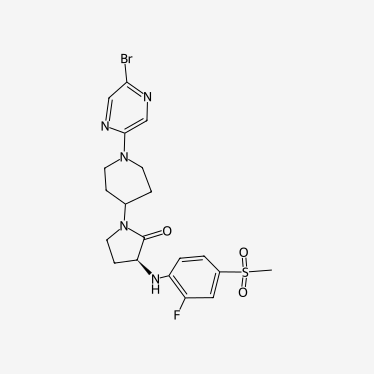 CS(=O)(=O)c1ccc(N[C@H]2CCN(C3CCN(c4cnc(Br)cn4)CC3)C2=O)c(F)c1